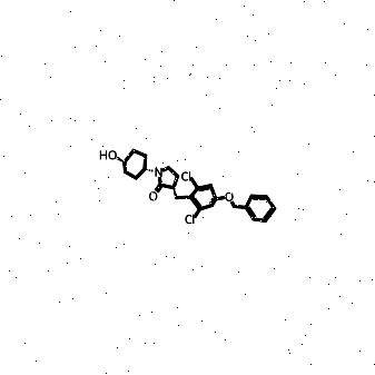 O=C1[C@H](Cc2c(Cl)cc(OCc3ccccc3)cc2Cl)CCN1[C@H]1CC[C@H](O)CC1